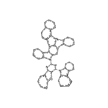 c1ccc2c(c1)ccc1c3c4c5ccccc5n(-c5nc(-n6c7ccccc7c7ccccc76)c6sc7ccccc7c6n5)c4cc4c5ccccc5n(c21)c43